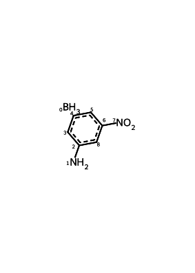 B.Nc1cccc([N+](=O)[O-])c1